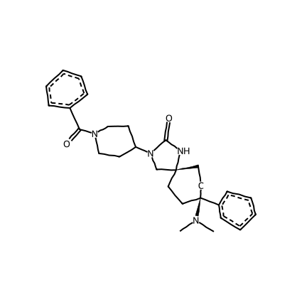 CN(C)[C@]1(c2ccccc2)CC[C@@]2(CC1)CN(C1CCN(C(=O)c3ccccc3)CC1)C(=O)N2